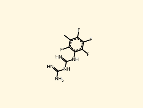 Cc1c(F)c(F)c(F)c(NC(=N)NC(=N)N)c1F